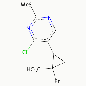 CCC1(C(=O)O)CC1c1cnc(SC)nc1Cl